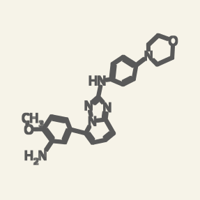 COc1ccc(-c2cccc3nc(Nc4ccc(N5CCOCC5)cc4)nn23)cc1N